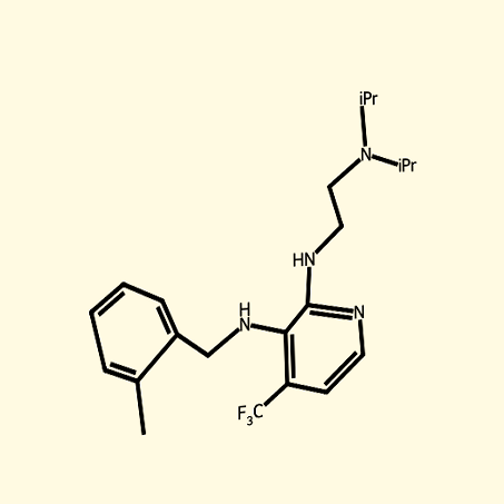 Cc1ccccc1CNc1c(C(F)(F)F)ccnc1NCCN(C(C)C)C(C)C